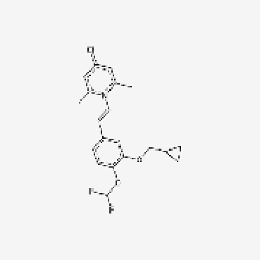 Cc1cc(=O)cc(C)n1/C=C/c1ccc(OC(F)F)c(OCC2CC2)c1